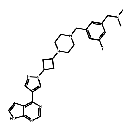 CN(C)Cc1cc(F)cc(CN2CCN(C3CC(n4cc(-c5ncnc6[nH]ccc56)cn4)C3)CC2)c1